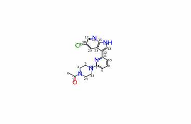 CC(=O)N1CCN(c2cccc(-c3c[nH]c4ncc(Cl)cc34)n2)CC1